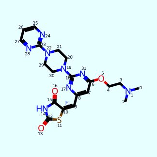 CN(C)CCOc1cc(/C=C2/SC(=O)NC2=O)nc(N2CCN(c3ncccn3)CC2)n1